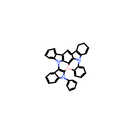 C1=Cc2c(c3cc4c5ccccc5n5c4c4c3n2-c2ccccc2B4c2c-5c3ccccc3n2-c2ccccc2)CC1